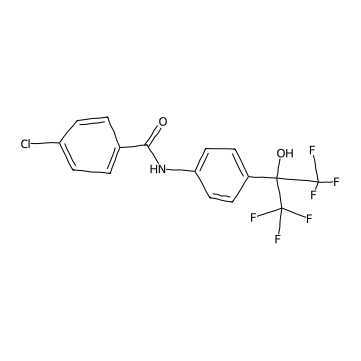 O=C(Nc1ccc(C(O)(C(F)(F)F)C(F)(F)F)cc1)c1ccc(Cl)cc1